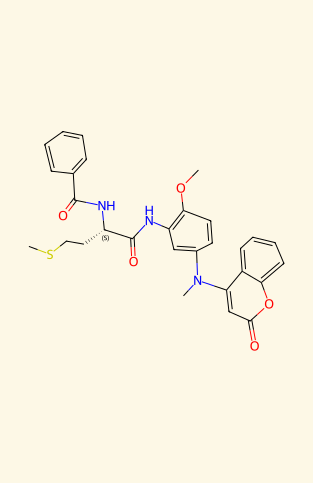 COc1ccc(N(C)c2cc(=O)oc3ccccc23)cc1NC(=O)[C@H](CCSC)NC(=O)c1ccccc1